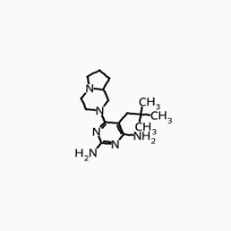 CC(C)(C)Cc1c(N)nc(N)nc1N1CCN2CCCC2C1